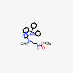 Cn1ncc(N(C=O)CCCNC(=O)OC(C)(C)C)c1NC(c1ccccc1)(c1ccccc1)c1ccccc1